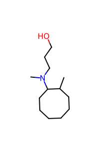 CC1CCCCCCC1N(C)CCCO